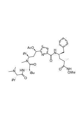 CC[C@H](C)[C@H](NC(=O)[C@H](C(C)C)N(C)C)C(=O)N(C)[C@H](C[C@@H](OC(C)=O)c1nc(C(=O)N[C@@H](Cc2ccccc2)C[C@H](C)C(=O)NOC)cs1)C(C)C